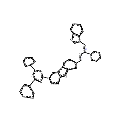 C(=N\C(=N/c1coc2ccccc12)c1ccccc1)/c1ccc2c(c1)sc1ccc(-c3nc(-c4ccccc4)nc(-c4ccccc4)n3)cc12